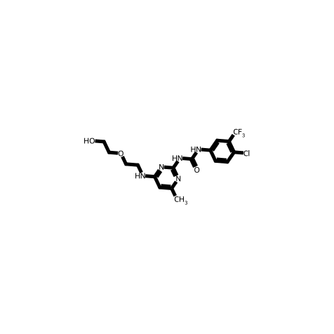 Cc1cc(NCCOCCO)nc(NC(=O)Nc2ccc(Cl)c(C(F)(F)F)c2)n1